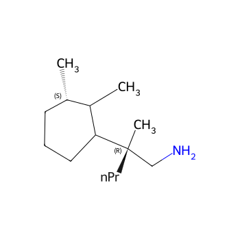 CCC[C@@](C)(CN)C1CCC[C@H](C)C1C